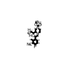 Cc1c(C(O)CN2CCN(C(=O)OC(C)(C)C)CC2CCO)ccc(F)c1C#N